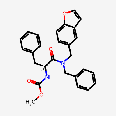 COC(=O)N[C@@H](Cc1ccccc1)C(=O)N(Cc1ccccc1)Cc1ccc2occc2c1